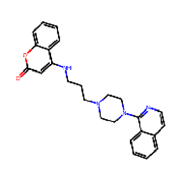 O=c1cc(NCCCN2CCN(c3nccc4ccccc34)CC2)c2ccccc2o1